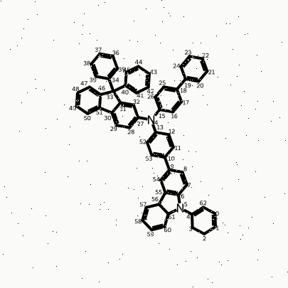 C1=CCCC(N2c3ccc(-c4ccc(N(c5ccc(-c6ccccc6)cc5)c5ccc6c(c5)C(c5ccccc5)(c5ccccc5)c5ccccc5-6)cc4)cc3C3C=CC=CC32)=C1